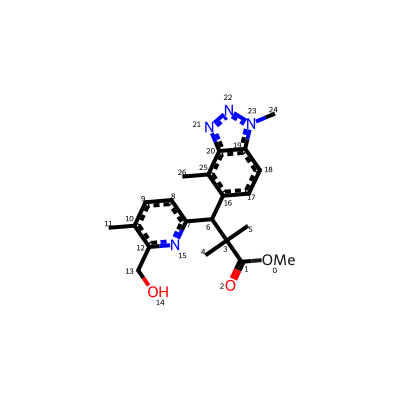 COC(=O)C(C)(C)C(c1ccc(C)c(CO)n1)c1ccc2c(nnn2C)c1C